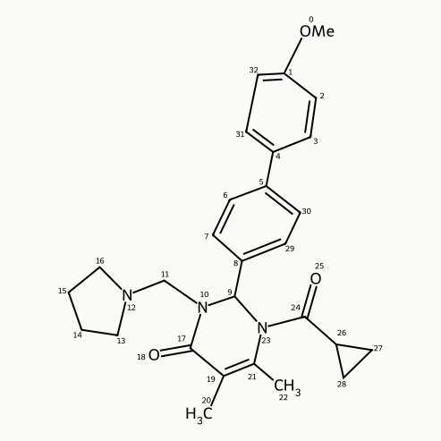 COc1ccc(-c2ccc(C3N(CN4CCCC4)C(=O)C(C)=C(C)N3C(=O)C3CC3)cc2)cc1